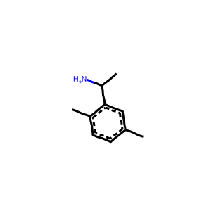 Cc1ccc(C)c(C(C)N)c1